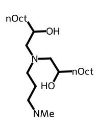 CCCCCCCCC(O)CN(CCCNC)CC(O)CCCCCCCC